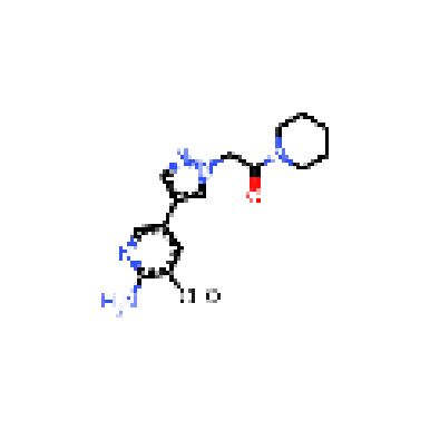 Nc1ncc(-c2cnn(CC(=O)N3CCCCC3)c2)cc1C=O